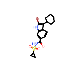 O=C(NS(=O)(=O)C1CC1)c1ccc2c(C3CCCCC3)c(Br)[nH]c2c1